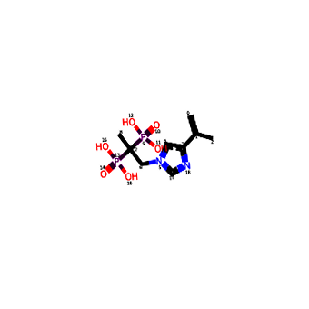 C=C(C)c1cn(CC(C)(P(=O)(O)O)P(=O)(O)O)cn1